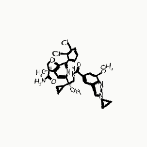 COc1cc(C(=O)NC[C@](O)(c2cc3c(c(-c4cccc(Cl)c4Cl)n2)OC[C@]3(C)C(N)=O)C2CC2)cc2cn(C3CC3)nc12